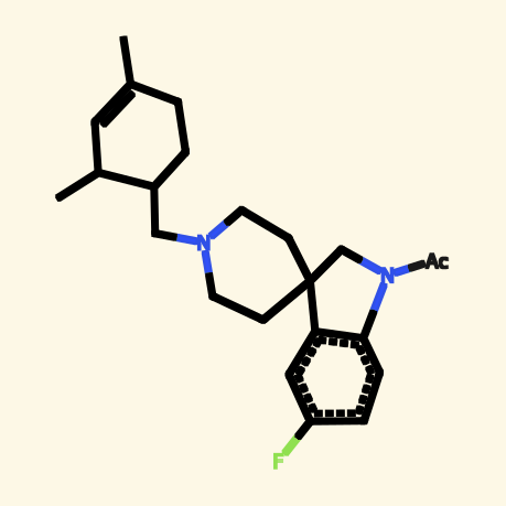 CC(=O)N1CC2(CCN(CC3CCC(C)=CC3C)CC2)c2cc(F)ccc21